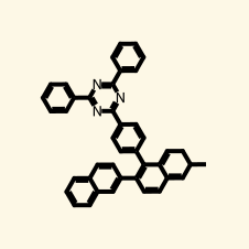 CC1C=c2ccc(-c3ccc4ccccc4c3)c(-c3ccc(-c4nc(-c5ccccc5)nc(-c5ccccc5)n4)cc3)c2=CC1